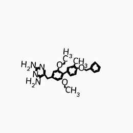 CCOc1cc(Cc2cnc(N)nc2N)cc(OCC)c1-c1ccc(OCc2ccccc2)c(C)c1